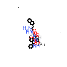 CC(C)(C)OC(=O)N[C@@H](Cc1c[nH]c2ccccc12)C(=O)N(C(=O)[C@H](CC(=O)O)NC(=O)[C@@H](N)Cc1ccc2ccccc2c1)C(=O)[C@@H]1CCC[C@@H]1c1ccccc1